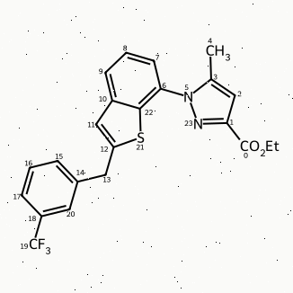 CCOC(=O)c1cc(C)n(-c2cccc3cc(Cc4cccc(C(F)(F)F)c4)sc23)n1